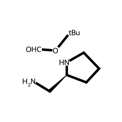 CC(C)(C)OC=O.NC[C@@H]1CCCN1